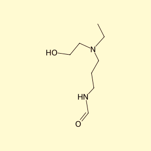 CCN(CCO)CCCNC=O